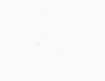 CC(C)c1ccc(-n2nc3c4c2CCN(C(=O)OC(C)(C)C)C4CNCC3)cc1